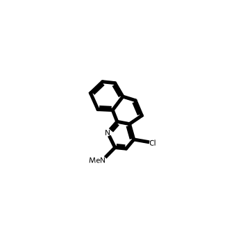 CNc1cc(Cl)c2ccc3ccccc3c2n1